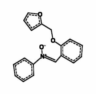 [O-][N+](=Cc1ccccc1OCc1ccco1)c1ccccc1